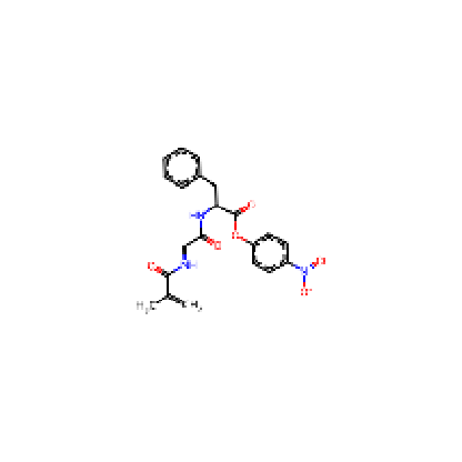 C=C(C)C(=O)NCC(=O)NC(Cc1ccccc1)C(=O)Oc1ccc([N+](=O)[O-])cc1